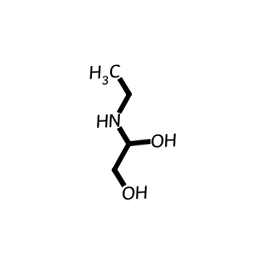 CCNC(O)CO